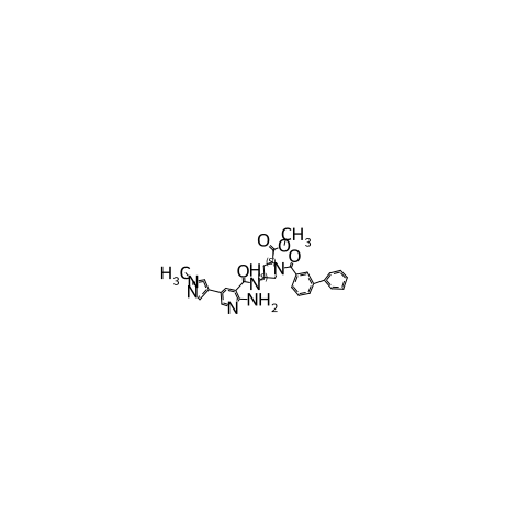 COC(=O)[C@@H]1C[C@H](NC(=O)c2cc(-c3cnn(C)c3)cnc2N)CN1C(=O)c1cccc(-c2ccccc2)c1